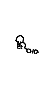 CCN1CCCCC1CC[C]=O